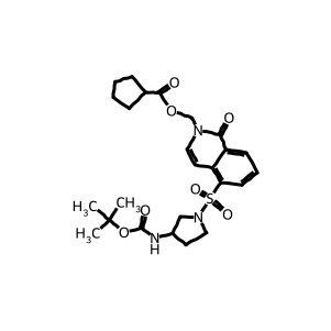 CC(C)(C)OC(=O)NC1CCN(S(=O)(=O)c2cccc3c(=O)n(COC(=O)C4CCCC4)ccc23)C1